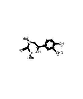 CC(C)(C)OC(=O)N(CC(O)c1ccc(O)c(C=O)c1)C(C)(C)C